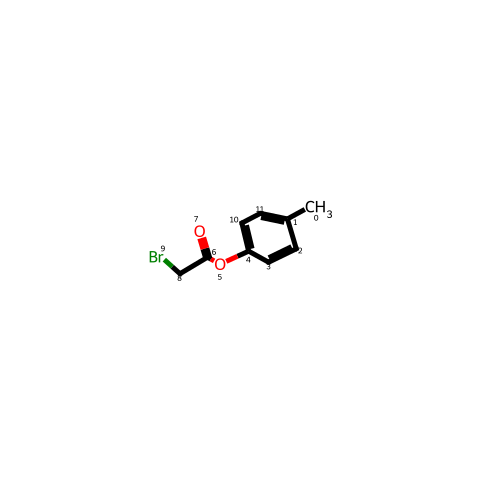 Cc1ccc(OC(=O)CBr)cc1